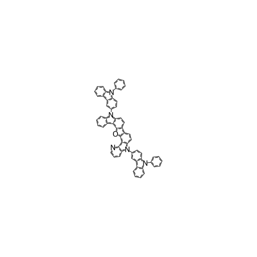 c1ccc(-n2c3ccccc3c3cc(-n4c5ccccc5c5c6oc7c(ccc8c7c7ncccc7n8-c7ccc8c(c7)c7ccccc7n8-c7ccccc7)c6ccc54)ccc32)cc1